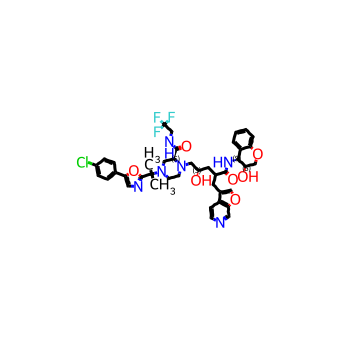 CC(C)(c1ncc(-c2ccc(Cl)cc2)o1)N1CCN(C[C@@H](O)CC(Cc2coc3cnccc23)C(=O)N[C@H]2c3ccccc3OC[C@H]2O)[C@H](C(=O)NCC(F)(F)F)C1